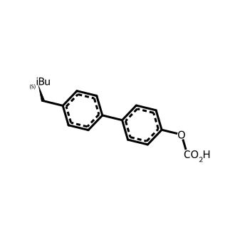 CC[C@H](C)Cc1ccc(-c2ccc(OC(=O)O)cc2)cc1